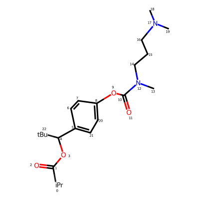 CC(C)C(=O)OC(c1ccc(OC(=O)N(C)CCCN(C)C)cc1)C(C)(C)C